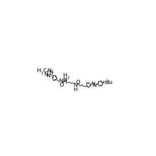 CCCCc1ccc(N=Nc2ccc(CCCC(=O)NCCCCC(N)C(=O)NCc3ccc(-c4nnc(C)nn4)cc3)cc2)cc1